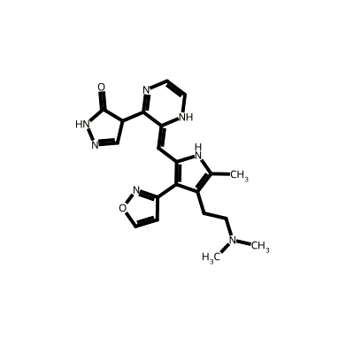 Cc1[nH]c(C=C2NC=CN=C2C2C=NNC2=O)c(-c2ccon2)c1CCN(C)C